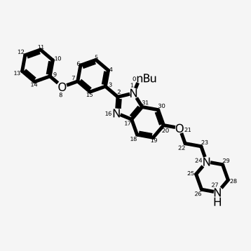 CCCCn1c(-c2cccc(Oc3ccccc3)c2)nc2ccc(OCCN3CCNCC3)cc21